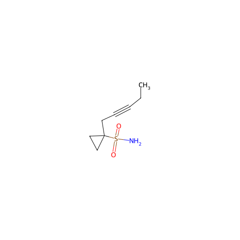 CCC#CCC1(S(N)(=O)=O)CC1